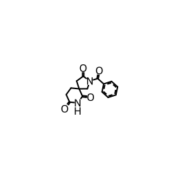 O=C1CCC2(CC(=O)N(C(=O)c3ccccc3)C2)C(=O)N1